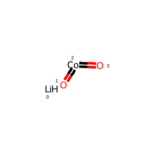 [LiH].[O]=[Co]=[O]